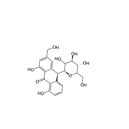 O=C1c2c(O)cccc2[C@H]([C@@H]2OC(CO)[C@@H](O)[C@H](O)C2O)c2cc(CO)cc(O)c21